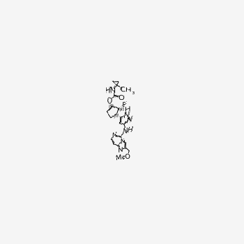 COCc1cn2c(Nc3cc([C@@H]4CC[C@H](OC(=O)NC5(C)CC5)[C@@H]4F)[nH]n3)nccc2n1